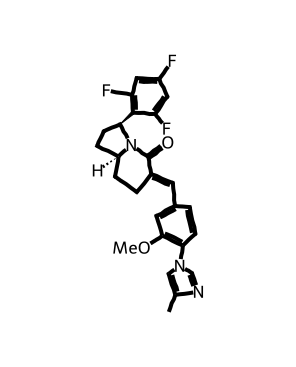 COc1cc(C=C2CC[C@H]3CC[C@@H](c4c(F)cc(F)cc4F)N3C2=O)ccc1-n1cnc(C)c1